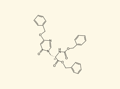 O=C(N[C@@H](Cn1cnc(OCc2ccccc2)cc1=O)C(=O)OCc1ccccc1)OCc1ccccc1